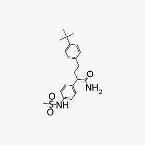 CC(C)(C)c1ccc(CCC(C(N)=O)c2ccc(NS(C)(=O)=O)cc2)cc1